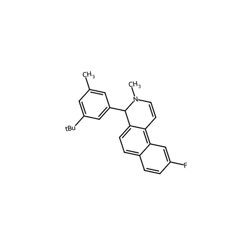 Cc1cc(C2c3ccc4ccc(F)cc4c3C=CN2C)cc(C(C)(C)C)c1